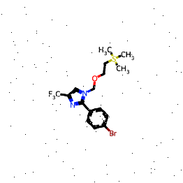 CS(C)(C)CCOCn1cc(C(F)(F)F)nc1-c1ccc(Br)cc1